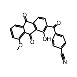 COc1cccc2c1C(=O)c1c(ccc(C(=O)c3ccc(C#N)cc3)c1O)C2=O